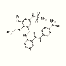 CC(C)Oc1cc(NS(N)(=O)=O)cc(CNc2ccc(F)cc2C(=O)Nc2ccc(C(=N)N)cc2)c1OCC(=O)O